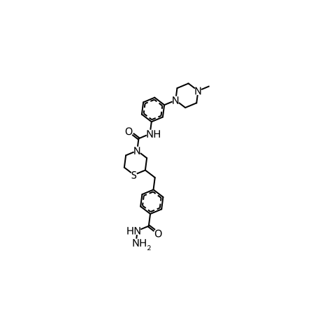 CN1CCN(c2cccc(NC(=O)N3CCSC(Cc4ccc(C(=O)NN)cc4)C3)c2)CC1